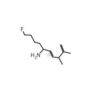 C=C(C)C(C)/C=C/C(N)CCCCF